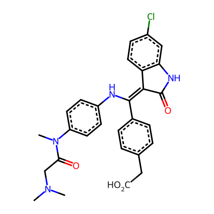 CN(C)CC(=O)N(C)c1ccc(NC(=C2C(=O)Nc3cc(Cl)ccc32)c2ccc(CC(=O)O)cc2)cc1